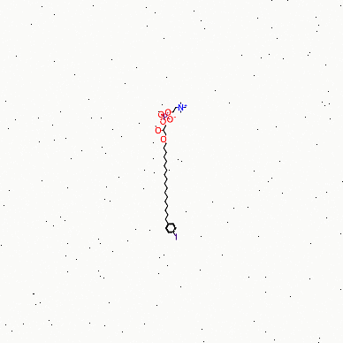 COC(COCCCCCCCCCCCCCCCCCCc1ccc(I)cc1)COP(=O)([O-])OCC[N+](C)(C)C